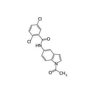 CC(=O)n1ccc2cc(NC(=O)c3cc(Cl)ccc3Cl)ccc21